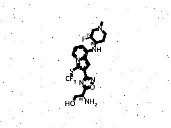 CN1CC[C@@H](Nc2cccn3c(SC(F)(F)F)c(-c4noc([C@H](N)CO)n4)cc23)[C@@H](F)C1